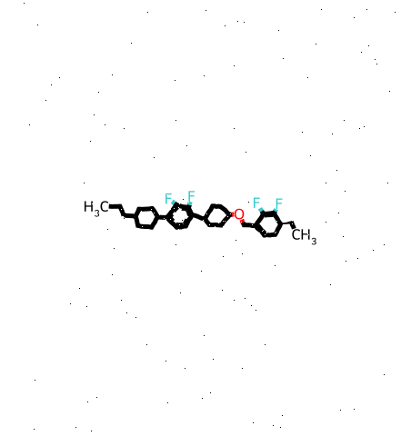 CCCC1CCC(c2ccc(C3CCC(OCC4=CC[C@H](CC)C(F)=C4F)CC3)c(F)c2F)CC1